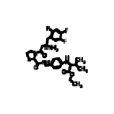 CCOC(=O)C(Nc1ccc(CNC(=O)C2SCCN2C(=O)C[C@H](N)Cc2cc(F)c(F)cc2F)cc1)C(C)C